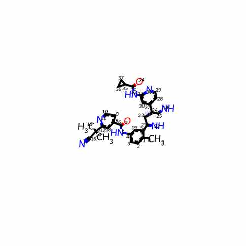 Cc1ccc(NC(=O)c2ccnc(C(C)(C)C#N)c2)cc1C(=N)/C=C(\C=N)c1ccnc(NC(=O)C2CC2)c1